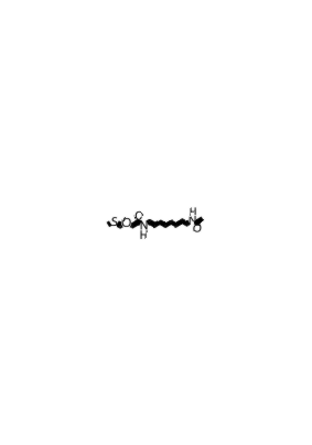 CSCOCC(=O)NCCCCCCCCNC(C)=O